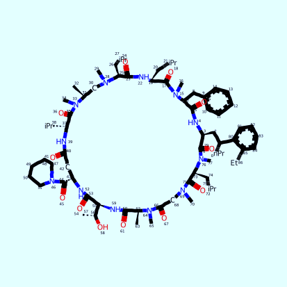 CCCC(C[C@@H]1NC(=O)C(Cc2ccccc2)N(C)C(=O)[C@H](CC(C)C)NC(=O)[C@H](CC(C)C)N(C)C[C@H](C)N(C)C(=O)[C@@H](C(C)C)NC(=O)C[C@@H](C(=O)N2CCCCC2)NC(=O)[C@H]([C@@H](C)O)NC(=O)[C@H](C)N(C)C(=O)CN(C)C(=O)[C@H](CC(C)C)N(C)C1=O)c1ccccc1CC